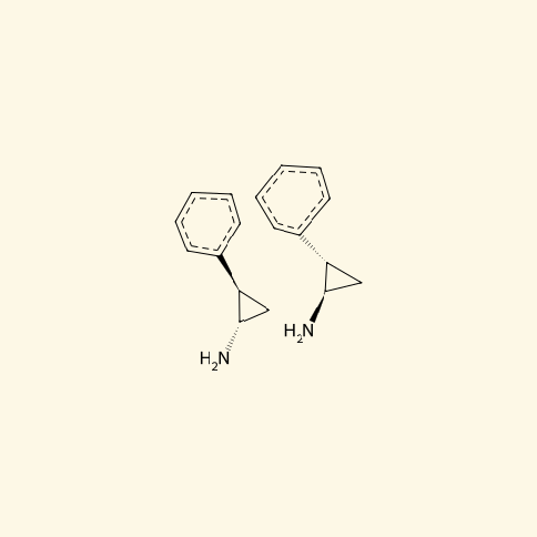 N[C@@H]1C[C@H]1c1ccccc1.N[C@H]1C[C@@H]1c1ccccc1